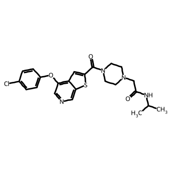 CC(C)NC(=O)CN1CCN(C(=O)c2cc3c(Oc4ccc(Cl)cc4)cncc3s2)CC1